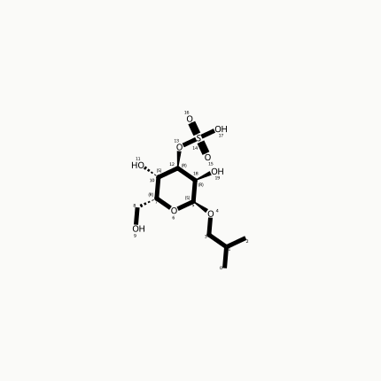 CC(C)CO[C@H]1O[C@H](CO)[C@H](O)[C@@H](OS(=O)(=O)O)[C@H]1O